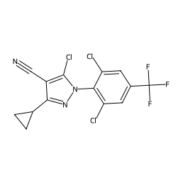 N#Cc1c(C2CC2)nn(-c2c(Cl)cc(C(F)(F)F)cc2Cl)c1Cl